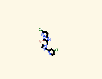 Clc1ccnc(-c2nccn2Cc2nc3ccc(Cl)nn3c2Br)c1